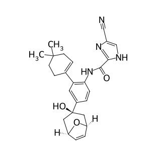 CC1(C)CC=C(c2cc([C@]3(O)C[C@H]4C=C[C@@H](C3)O4)ccc2NC(=O)c2nc(C#N)c[nH]2)CC1